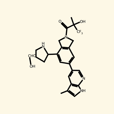 Cc1c[nH]c2ncc(-c3cc4c(c(C5CCCN5)c3)CN(C(=O)C(C)(O)C(F)(F)F)C4)cc12.O=CO